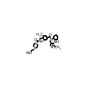 Cc1cc(C(=O)N2Cc3cnn(C)c3Nc3ccccc32)ccc1CNC(=O)N1CCN(CCC(C)(C)C)CC1